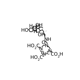 C[C@H](CCCNC(=O)CN1CCN(CC(=O)O)CCN(CC(=O)O)CCN(CC(=O)O)CC1)[C@H]1CC[C@H]2[C@@H]3[C@H](O)C[C@@H]4C[C@H](O)CC[C@]4(C)[C@H]3C[C@H](O)[C@]12C